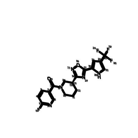 O=C(c1ccc(F)nc1)N1CCC[C@H](c2noc(-c3cc(C(F)(F)F)c[nH]3)n2)C1